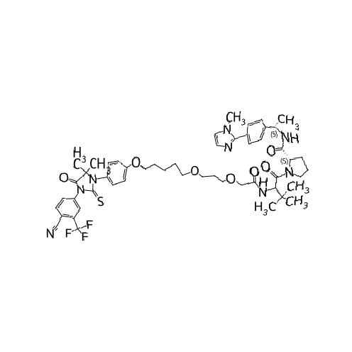 C[C@H](NC(=O)[C@@H]1CCCN1C(=O)C(NC(=O)COCCCOCCCCCOc1ccc(N2C(=S)N(c3ccc(C#N)c(C(F)(F)F)c3)C(=O)C2(C)C)cc1)C(C)(C)C)c1ccc(-c2nccn2C)cc1